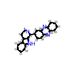 [c]1c(-c2nccc3c2[nH]c2ccccc23)ccc2nc3ccccc3nc12